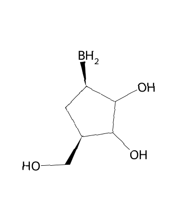 B[C@@H]1C[C@H](CO)C(O)C1O